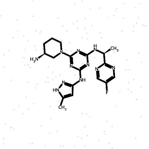 Cc1cc(Nc2nc(N[C@@H](C)c3ncc(F)cn3)nc(N3CCC[C@H](N)C3)n2)n[nH]1